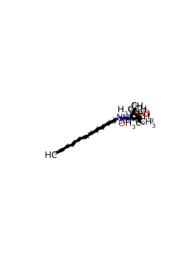 C#CC#CC#CC#CC#CC#CC#CC#CC#CC#CC#CNC(=O)CCc1cc(C(C)(C)C)c(O)c(C(C)(C)C)c1